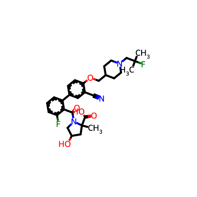 CC(C)(F)CN1CCC(COc2ccc(-c3cccc(F)c3C(=O)N3CC(O)CC3(C)C(=O)O)cc2C#N)CC1